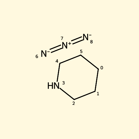 C1CCNCC1.[N-]=[N+]=[N-]